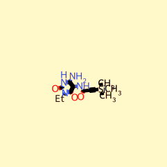 CCn1c(=O)[nH]c(N)c(NC(=O)C#C[Si](C)(C)C)c1=O